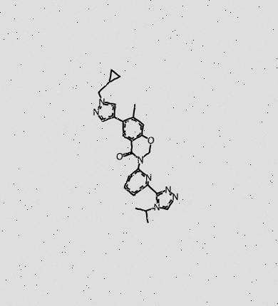 Cc1cc2c(cc1-c1cnn(CC3CC3)c1)C(=O)N(c1cccc(-c3nncn3C(C)C)n1)CO2